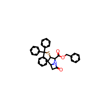 O=C(OCc1ccccc1)C1C(SC(c2ccccc2)(c2ccccc2)c2ccccc2)CC2CC(=O)N21